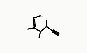 C#CC(F)C(C)/C(C)=C\CC